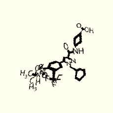 CC(C)(C)NS(=O)(=O)c1ccc(-c2cc(C(=O)N[C@H]3C[C@H](C(=O)O)C3)nn2CC2CCCCC2)cc1C(F)(F)F